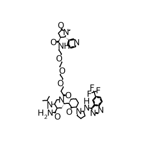 CC(C)N(C)[C@H]1CN(C(=O)CCOCCOCCOCCNC(=O)[C@H]2CC(=O)N(C)[C@@H]2c2cccnc2)[C@H]([C@H]2CCC[C@H](N3CCCC3Nc3ncnc4ccc(C(F)(F)F)cc34)C2=O)CC1C(N)=O